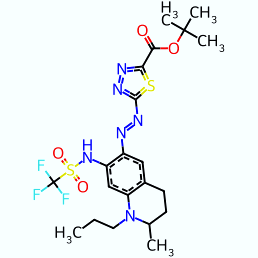 CCCN1c2cc(NS(=O)(=O)C(F)(F)F)c(N=Nc3nnc(C(=O)OC(C)(C)C)s3)cc2CCC1C